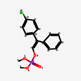 COP(=O)(OC)O/C=C(\c1ccccc1)c1ccc(Br)cc1